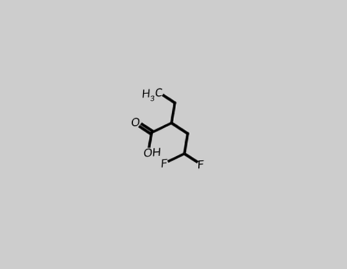 CCC(CC(F)F)C(=O)O